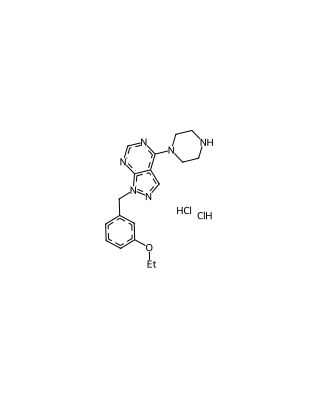 CCOc1cccc(Cn2ncc3c(N4CCNCC4)ncnc32)c1.Cl.Cl